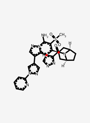 CS(=O)(=O)c1c([C@H]2C[C@H]3CC[C@@H](C2)N3C(=O)c2nnc[nH]2)nc2c(-c3cnn(-c4ccccn4)c3)cnn2c1N